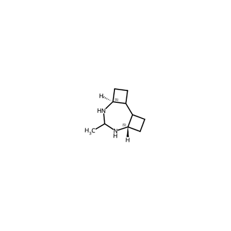 CC1N[C@H]2CCC2C2CC[C@@H]2N1